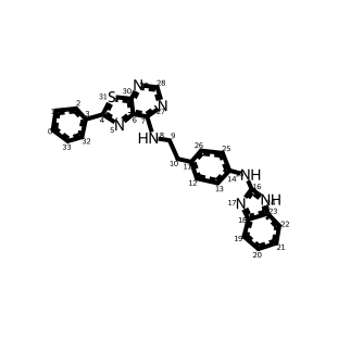 c1ccc(-c2nc3c(NCCc4ccc(Nc5nc6ccccc6[nH]5)cc4)ncnc3s2)cc1